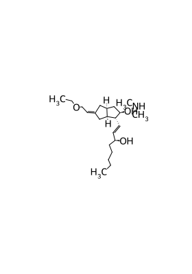 CCCCC[C@H](O)C=C[C@@H]1[C@H]2CC(=CCOCC)C[C@H]2C[C@H]1O.CNC